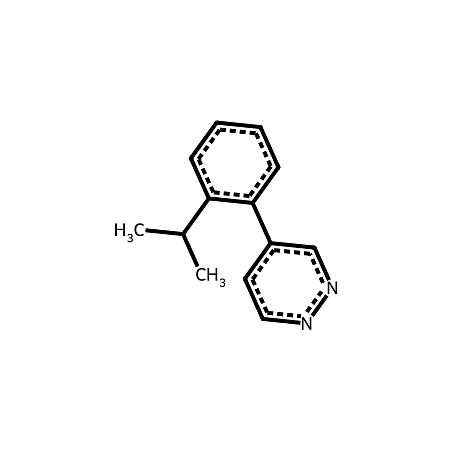 CC(C)c1ccccc1-c1ccnnc1